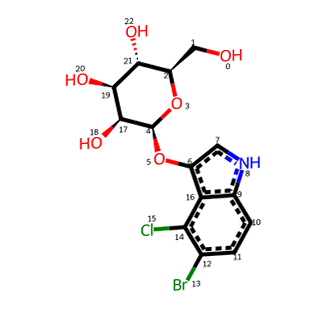 OC[C@H]1O[C@@H](Oc2c[nH]c3ccc(Br)c(Cl)c23)[C@@H](O)[C@@H](O)[C@@H]1O